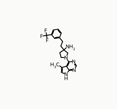 Cc1c[nH]c2ncnc(N3CCC(N)(CCc4cccc(C(F)(F)F)c4)C3)c12